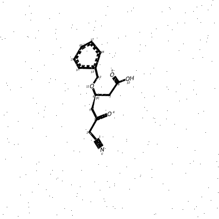 N#CCC(=O)C[C@H](CC(=O)O)OCc1ccccc1